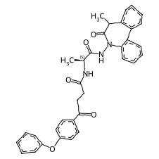 CC1C(=O)N(NC(=O)[C@H](C)NC(=O)CCC(=O)c2ccc(Oc3ccccc3)cc2)c2ccccc2-c2ccccc21